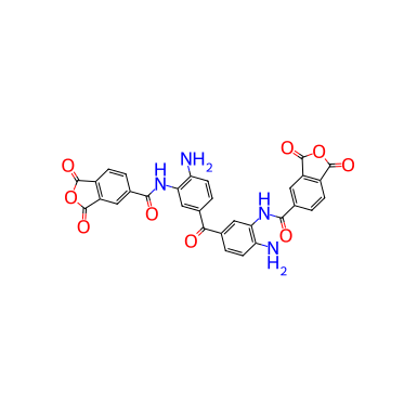 Nc1ccc(C(=O)c2ccc(N)c(NC(=O)c3ccc4c(c3)C(=O)OC4=O)c2)cc1NC(=O)c1ccc2c(c1)C(=O)OC2=O